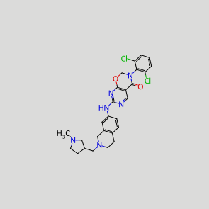 CN1CCC(CN2CCc3ccc(Nc4ncc5c(n4)OCN(c4c(Cl)cccc4Cl)C5=O)cc3C2)C1